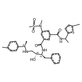 Cc1ccc([C@@H](C)NC[C@@H](O)[C@H](Cc2ccccc2)NC(=O)c2cc(C(=O)NC(C)c3ccc(C)s3)cc(N(C)S(C)(=O)=O)c2)cc1